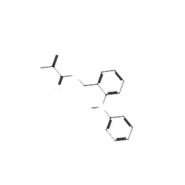 C=C(C)C(=O)OCc1ccccc1[S+]([O-])c1ccccc1